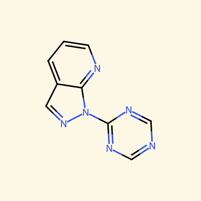 c1cnc2c(c1)cnn2-c1ncncn1